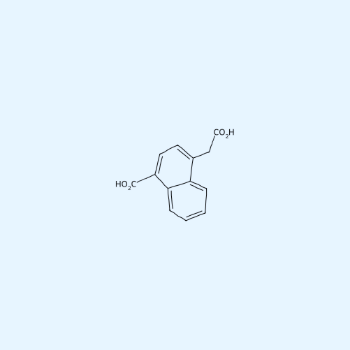 O=C(O)Cc1ccc(C(=O)O)c2ccccc12